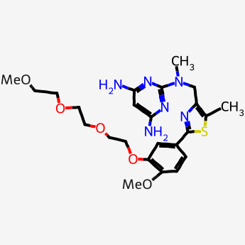 COCCOCCOCCOc1cc(-c2nc(CN(C)c3nc(N)cc(N)n3)c(C)s2)ccc1OC